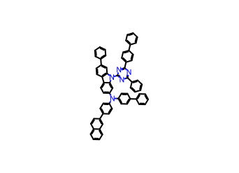 c1ccc(-c2ccc(-c3nc(-c4ccccc4)nc(-n4c5cc(-c6ccccc6)ccc5c5ccc(N(c6ccc(-c7ccccc7)cc6)c6ccc(-c7ccc8ccccc8c7)cc6)cc54)n3)cc2)cc1